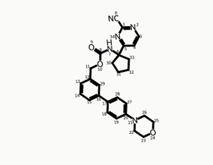 N#Cc1nccc(C2(NC(=O)OCc3cccc(-c4ccc(N5CCOCC5)cc4)c3)CCCC2)n1